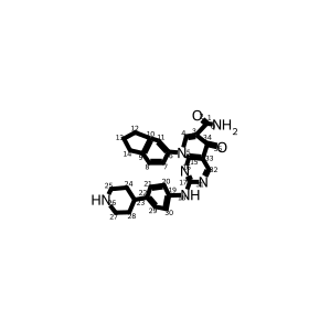 NC(=O)c1cn(-c2ccc3c(c2)CCC3)c2nc(Nc3ccc(C4CCNCC4)cc3)ncc2c1=O